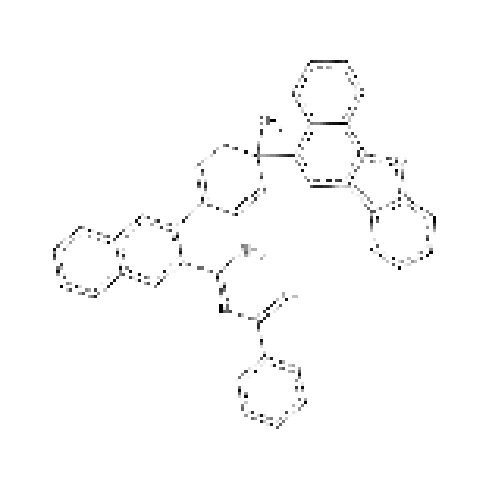 CC1(c2cc3c4ccccc4oc3c3ccccc23)C=CC(c2cc3ccccc3cc2/C(N)=N/C(=N)c2ccccc2)=CC1